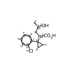 C[C@@H](O)CN(C(=O)O)C1(c2ccccc2Cl)CC1